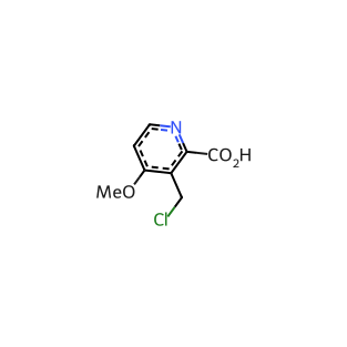 COc1ccnc(C(=O)O)c1CCl